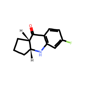 O=C1c2ccc(F)cc2N[C@@H]2CCC[C@H]12